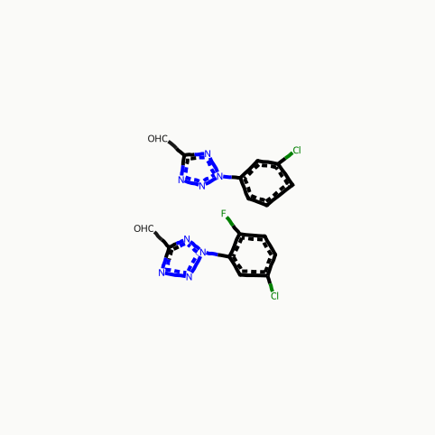 O=Cc1nnn(-c2cc(Cl)ccc2F)n1.O=Cc1nnn(-c2cccc(Cl)c2)n1